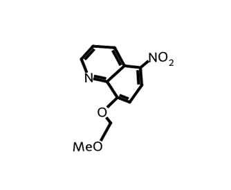 COCOc1ccc([N+](=O)[O-])c2cccnc12